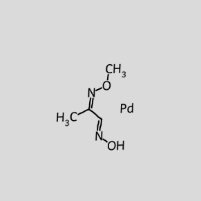 CON=C(C)C=NO.[Pd]